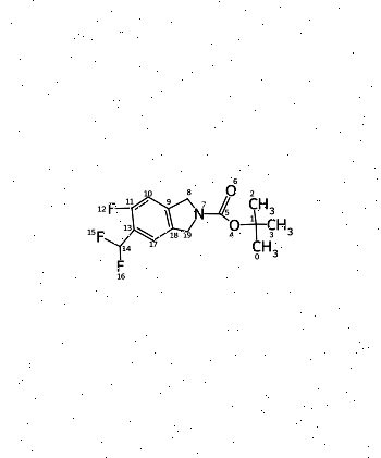 CC(C)(C)OC(=O)N1Cc2cc(F)c(C(F)F)cc2C1